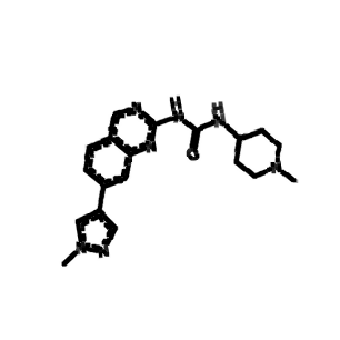 CN1CCC(NC(=O)Nc2ncc3ccc(-c4cnn(C)c4)cc3n2)CC1